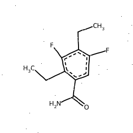 CCc1c(F)cc(C(N)=O)c(CC)c1F